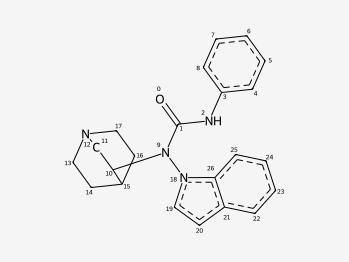 O=C(Nc1ccccc1)N(C1CN2CCC1CC2)n1ccc2ccccc21